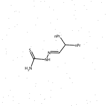 CCCC(/C=N/NC(N)=S)CCC